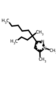 CCCCCC(C)(CCC)c1cc(C)n(C)n1